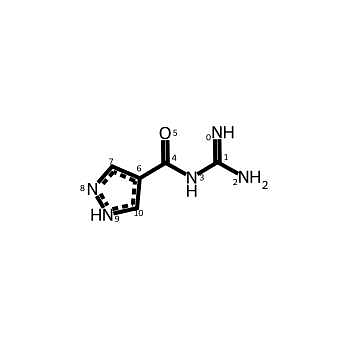 N=C(N)NC(=O)c1cn[nH]c1